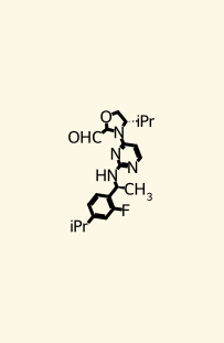 CC(C)c1ccc([C@H](C)Nc2nccc(N3C(C=O)OC[C@@H]3C(C)C)n2)c(F)c1